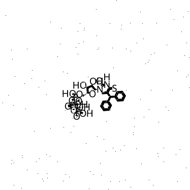 O=c1[nH]c(=S)c(C(c2ccccc2)c2ccccc2)cn1[C@@H]1O[C@H](COP(=O)(O)OP(=O)(O)OP(=O)(O)O)[C@@H](O)[C@H]1O